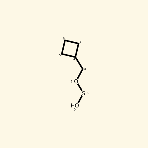 OSOCC1CCC1